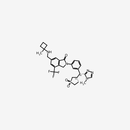 Cn1cnnc1[C@@H](c1cccc(N2Cc3c(cc(CNC4(C)CCC4)cc3C(F)(F)F)C2=O)c1)[C@@H]1CCS(=O)(=O)C1